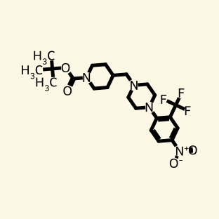 CC(C)(C)OC(=O)N1CCC(CN2CCN(c3ccc([N+](=O)[O-])cc3C(F)(F)F)CC2)CC1